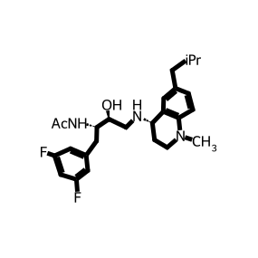 CC(=O)N[C@@H](Cc1cc(F)cc(F)c1)[C@@H](O)CN[C@H]1CCN(C)c2ccc(CC(C)C)cc21